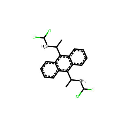 CC([SiH2]C(Cl)Cl)c1c2ccccc2c(C(C)[SiH2]C(Cl)Cl)c2ccccc12